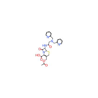 CC(=O)OCC1=C(C(=O)O)N2C(=O)[C@@H](NC(=O)CN(Cc3ccccn3)Cc3ccccn3)C2SC1